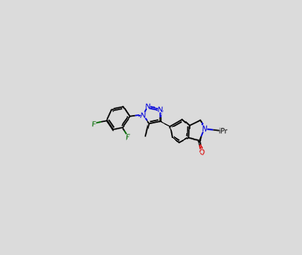 Cc1c(-c2ccc3c(c2)CN(C(C)C)C3=O)nnn1-c1ccc(F)cc1F